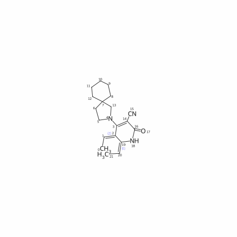 C/C=c1/c(N2CCC3(CCCCC3)C2)c(C#N)c(=O)[nH]/c1=C/C